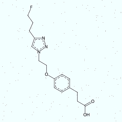 O=C(O)CCc1ccc(OCCn2cc(CCCF)nn2)cc1